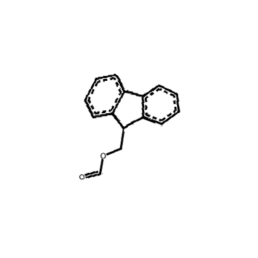 O=[C]OCC1c2[c]cccc2-c2ccccc21